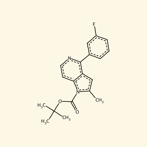 Cc1cc2c(-c3cccc(F)c3)nccc2n1C(=O)OC(C)(C)C